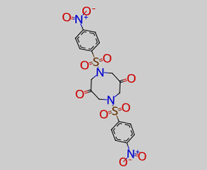 O=C1CN(S(=O)(=O)c2ccc([N+](=O)[O-])cc2)CC(=O)CN(S(=O)(=O)c2ccc([N+](=O)[O-])cc2)C1